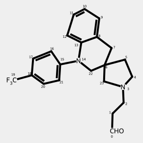 O=CCCN1CCC2(Cc3ccccc3N(c3ccc(C(F)(F)F)cc3)C2)C1